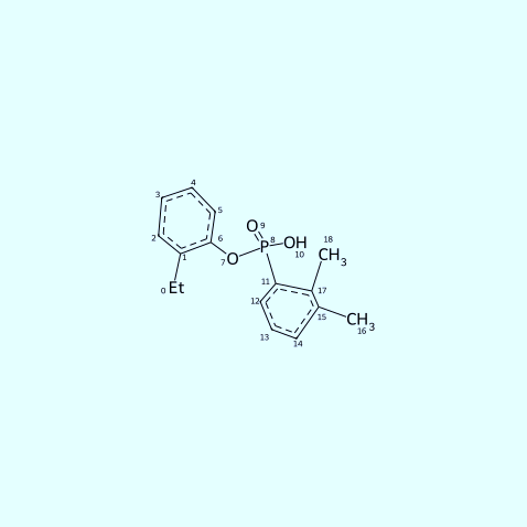 CCc1ccccc1OP(=O)(O)c1cccc(C)c1C